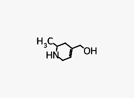 CC1CC(CO)=CCN1